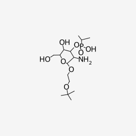 CC(C)P(=O)(O)OC1C(N)C(OCCOC(C)(C)C)OC(CO)C1O